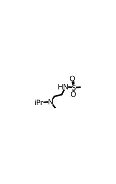 CC(C)N(C)CCNS(C)(=O)=O